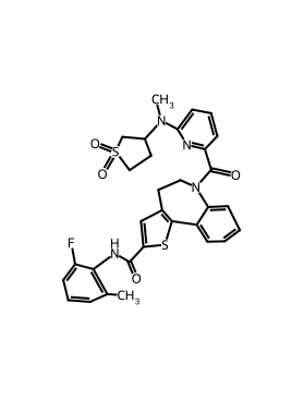 Cc1cccc(F)c1NC(=O)c1cc2c(s1)-c1ccccc1N(C(=O)c1cccc(N(C)C3CCS(=O)(=O)C3)n1)CC2